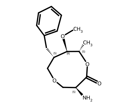 CO[C@@H]1[C@@H](Cc2ccccc2)COC[C@H](N)C(=O)O[C@H]1C